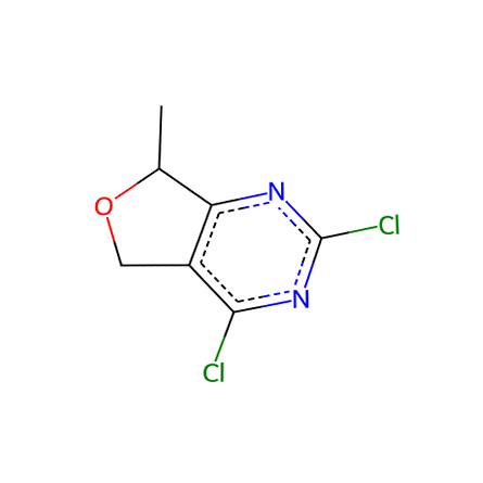 CC1OCc2c(Cl)nc(Cl)nc21